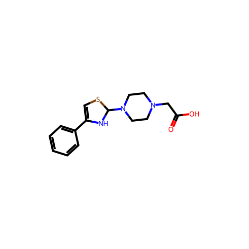 O=C(O)CN1CCN(C2NC(c3ccccc3)=CS2)CC1